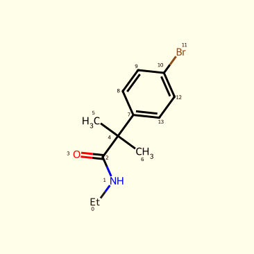 CCNC(=O)C(C)(C)c1ccc(Br)cc1